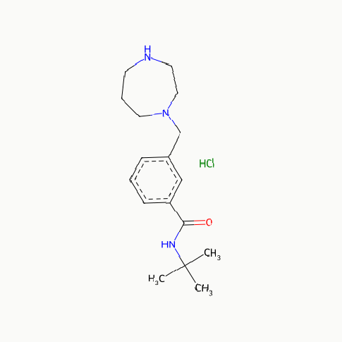 CC(C)(C)NC(=O)c1cccc(CN2CCCNCC2)c1.Cl